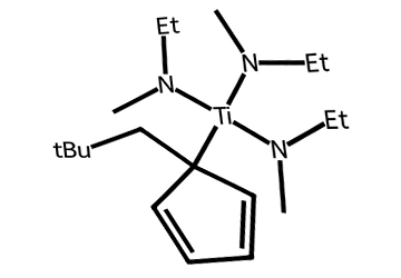 CC[N](C)[Ti]([N](C)CC)([N](C)CC)[C]1(CC(C)(C)C)C=CC=C1